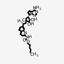 CCCCCCOC(=O)Nc1ccc2ccc(CC[C@@]3(C)C[C@@H](c4ccc5c(N)ncnn45)[C@H](O)[C@@H]3O)cc2n1